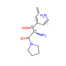 C=C/C=C(\C=C/N)[C@H](O)[C@@H](N)C(=O)N1CCCC1